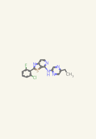 CCc1cnc(Nc2nccc3nc(-c4c(F)cccc4Cl)sc23)cn1